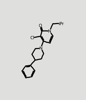 CC(C)Cn1ccc(N2CCC(c3ccccc3)CC2)c(Cl)c1=O